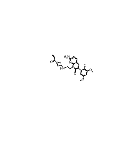 C=CC(=O)N1CC(NCCn2c(=O)c(-c3cc(OC)cc(OC)c3Cl)cc3cnc(N)nc32)C1